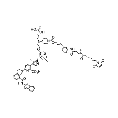 Cc1c(-c2ccc(N3CCc4cccc(C(=O)Nc5nc6ccccc6s5)c4C3)nc2C(=O)O)cnn1CC12CC3(C)CC(C)(C1)CC(OCCN(CCCP(=O)(O)O)C1CCN(C(=O)OC/C=C/c4cc[c]c(NC(=O)CCNC(=O)CCCCCN5C(=O)C=CC5=O)c4)CC1)(C3)C2